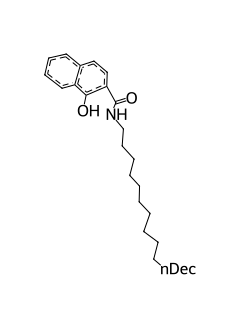 CCCCCCCCCCCCCCCCCCCCNC(=O)c1ccc2ccccc2c1O